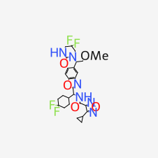 COCC(c1ccc2oc(C(NC(=O)c3nonc3C3CC3)C3CCC(F)(F)CC3)nc2c1)N1CC(F)(F)CNC1=O